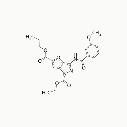 CCCOC(=O)c1cc2c(o1)c(NC(=O)c1cccc(OC)c1)nn2C(=O)OCC